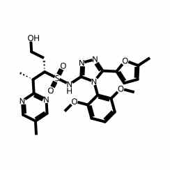 COc1cccc(OC)c1-n1c(NS(=O)(=O)[C@@H](CCO)[C@@H](C)c2ncc(C)cn2)nnc1-c1ccc(C)o1